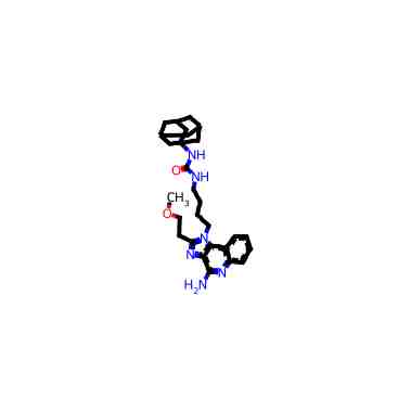 COCCc1nc2c(N)nc3ccccc3c2n1CCCCNC(=O)NC12CC3CC(CC(C3)C1)C2